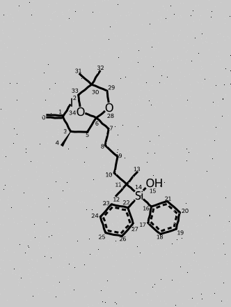 C=C(I)[C@H](C)CC1(CCCCC(C)(C)[Si](O)(c2ccccc2)c2ccccc2)OCC(C)(C)CO1